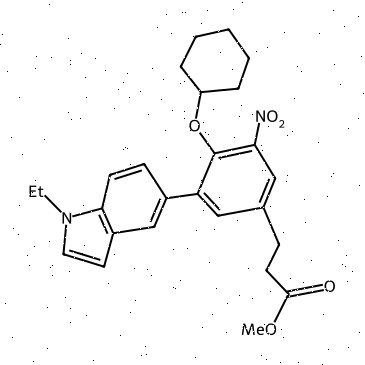 CCn1ccc2cc(-c3cc(CCC(=O)OC)cc([N+](=O)[O-])c3OC3CCCCC3)ccc21